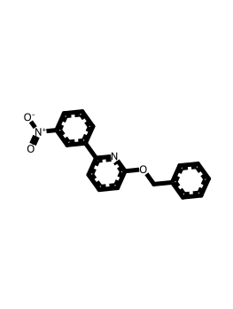 O=[N+]([O-])c1cccc(-c2cccc(OCc3ccccc3)n2)c1